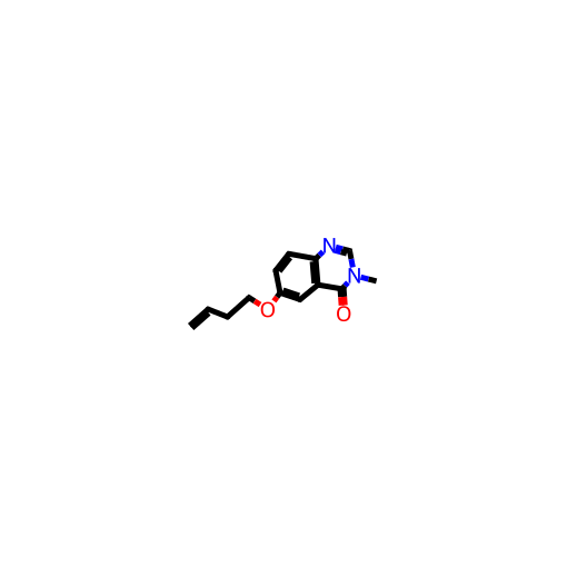 C=CCCOc1ccc2ncn(C)c(=O)c2c1